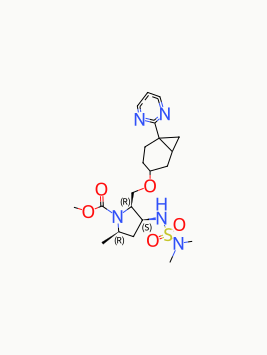 COC(=O)N1[C@H](C)C[C@H](NS(=O)(=O)N(C)C)[C@@H]1COC1CCC2(c3ncccn3)CC2C1